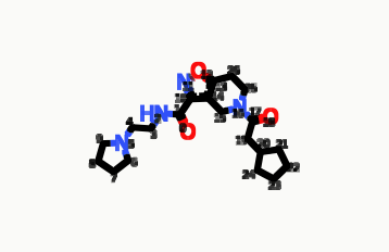 O=C(NCCN1CCCC1)c1noc2c1CN(C(=O)CC1CCCC1)CC2